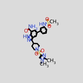 Cc1nc(S(=O)(=O)N2CCC(c3n[nH]c4c(C(N)=O)cc(-c5cccc(NS(C)(=O)=O)c5)cc34)CC2)cn1C